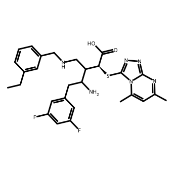 CCc1cccc(CNCC(C(N)Cc2cc(F)cc(F)c2)[C@H](Sc2nnc3nc(C)cc(C)n23)C(=O)O)c1